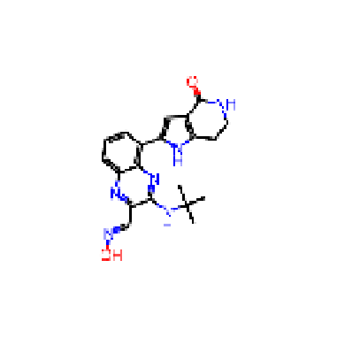 CC(C)(C)Nc1nc2c(-c3cc4c([nH]3)CCNC4=O)cccc2nc1C=NO